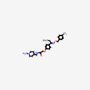 COC/C(=N\OCc1ccc(C(F)(F)F)cc1)c1ccc(OCC(=S)NCC2CCN(C)CC2)cc1